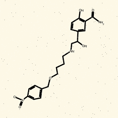 NC(=O)c1cc(C(O)CNCCCCOCc2ccc([N+](=O)[O-])cc2)ccc1O